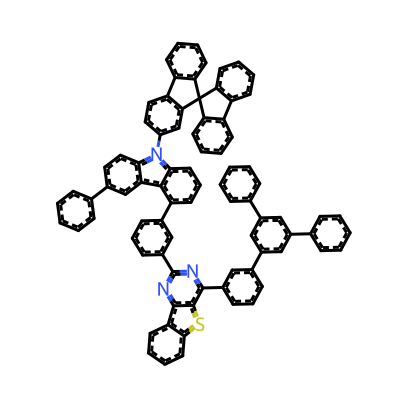 c1ccc(-c2cc(-c3ccccc3)cc(-c3cccc(-c4nc(-c5cccc(-c6cccc7c6c6cc(-c8ccccc8)ccc6n7-c6ccc7c(c6)C6(c8ccccc8-c8ccccc86)c6ccccc6-7)c5)nc5c4sc4ccccc45)c3)c2)cc1